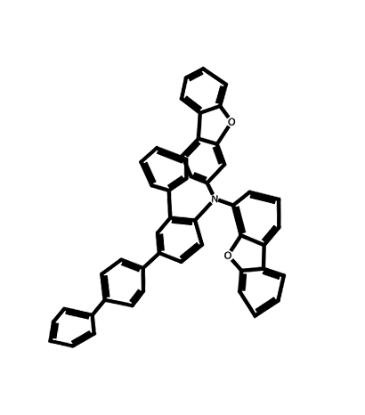 c1ccc(-c2ccc(-c3ccc(N(c4ccc5c(c4)oc4ccccc45)c4cccc5c4oc4ccccc45)c(-c4ccccc4)c3)cc2)cc1